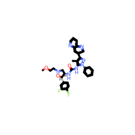 COCCN1C[C@@H](NC(=O)Nc2c(C)c(-c3cnc4cccnc4c3)nn2-c2ccccc2)[C@H](c2ccc(F)c(F)c2)O1